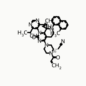 C=CC(=O)N1CCN(c2nc(=O)n(-c3c(C(C)C)ncnc3C(C)C)c3c2CCN(c2cccc4cccc(C)c24)C32CC2)C[C@@H]1CC#N